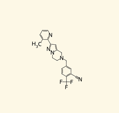 Cc1cccnc1-c1cc2n(n1)CCN(Cc1ccc(C(F)(F)F)c(C#N)c1)C2